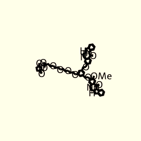 COc1cc2c(cc1OCc1cc(COc3ccc4c(c3)N=C[C@@H]3Cc5ccccc5N3C4=O)cc(OCCOCCOCCOCCC(=O)ON3C(=O)CCC3=O)c1)N=C[C@@H]1Cc3ccccc3N1C2=O